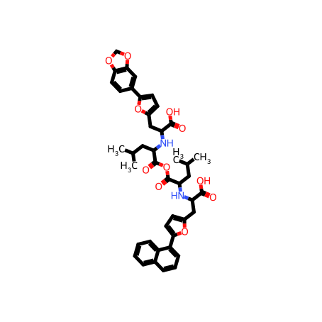 CC(C)CC(NC(Cc1ccc(-c2ccc3c(c2)OCO3)o1)C(=O)O)C(=O)OC(=O)C(CC(C)C)NC(Cc1ccc(-c2cccc3ccccc23)o1)C(=O)O